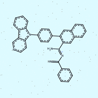 N=C(/N=C(\N)c1cc2ccccc2cc1-c1ccc(-n2c3ccccc3c3cnccc32)cc1)c1ccccc1